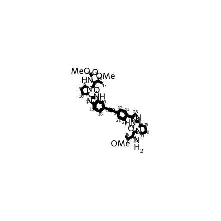 COC(=O)N[C@H](C(=O)N1CCC[C@H]1c1nc2ccc(C#Cc3ccc(-c4cnc([C@@H]5CCCN5C(=O)[C@@H](N)[C@@H](C)OC)[nH]4)cc3)cc2[nH]1)[C@@H](C)OC